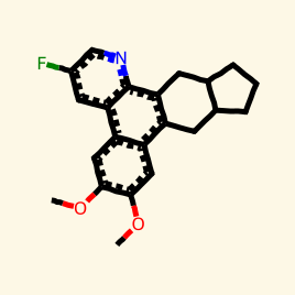 COc1cc2c3c(c4ncc(F)cc4c2cc1OC)CC1CCCC1C3